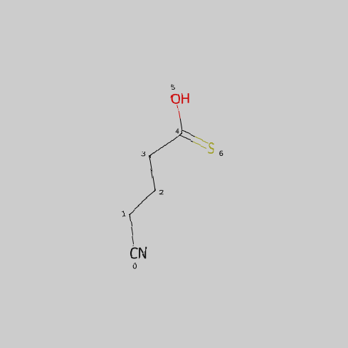 N#CCCCC(O)=S